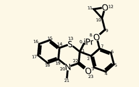 CC(C)C1(c2ccccc2OCC2CO2)Sc2ccccc2N(C)C1=O